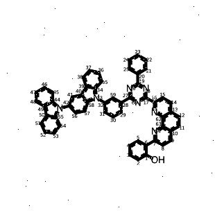 Oc1ccccc1-c1ccc2ccc3ccc(-c4nc(-c5ccccc5)nc(-c5cccc(-n6c7ccccc7c7cc(-n8c9ccccc9c9ccccc98)ccc76)c5)n4)nc3c2n1